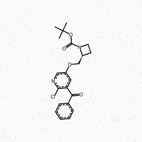 CC(C)(C)OC(=O)N1CC[C@H]1COc1cnc(Cl)c(C(=O)c2ccccc2)c1